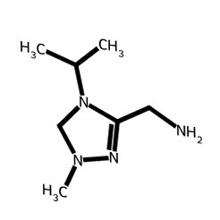 CC(C)N1CN(C)N=C1CN